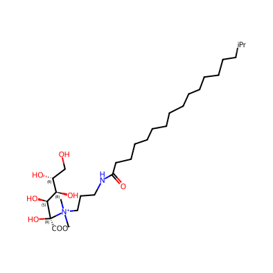 CC(C)CCCCCCCCCCCCCCC(=O)NCCC[N+](C)(C)[C@](O)(C(=O)[O-])[C@@H](O)[C@H](O)[C@H](O)CO